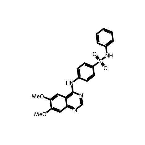 COc1cc2ncnc(Nc3ccc(S(=O)(=O)Nc4ccccc4)cc3)c2cc1OC